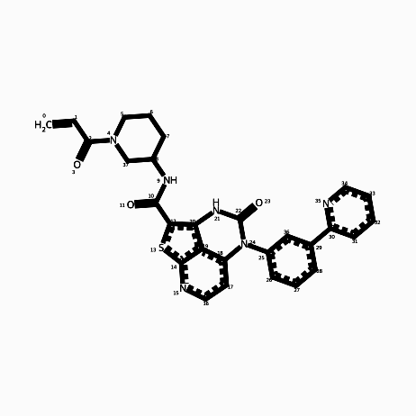 C=CC(=O)N1CCCC(NC(=O)c2sc3nccc4c3c2NC(=O)N4c2cccc(-c3ccccn3)c2)C1